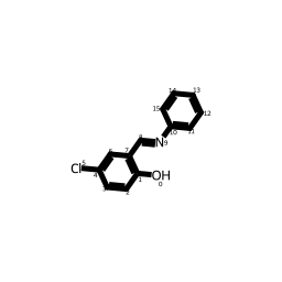 Oc1ccc(Cl)cc1C=Nc1ccccc1